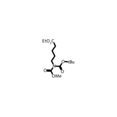 CCOC(=O)CCCCN(C(=O)OC)C(=O)OC(C)(C)C